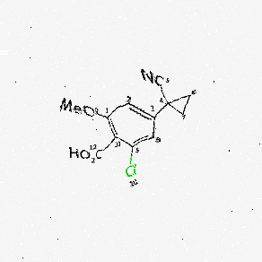 COc1cc(C2(C#N)CC2)cc(Cl)c1C(=O)O